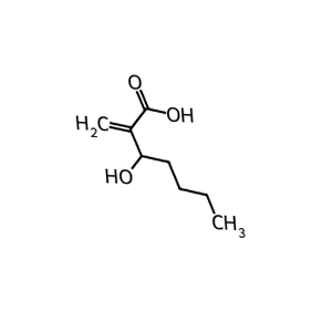 C=C(C(=O)O)C(O)CCCC